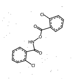 O=C(NOC(=O)c1ccccc1Cl)c1ccccc1Cl